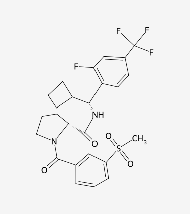 CS(=O)(=O)c1cccc(C(=O)N2CCC[C@@H]2C(=O)N[C@@H](c2ccc(C(F)(F)F)cc2F)C2CCC2)c1